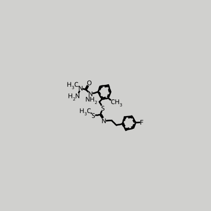 CSC(=NCCc1ccc(F)cc1)SCc1c(C)cccc1N(N)C(=O)N(C)N